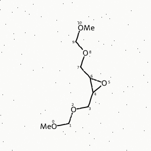 COCOCC1OC1COCOC